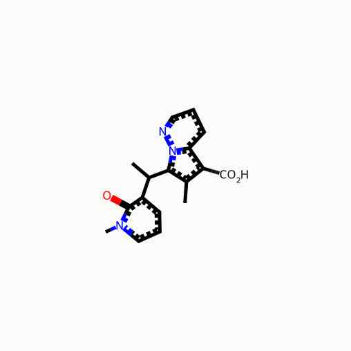 Cc1c(C(=O)O)c2cccnn2c1C(C)c1cccn(C)c1=O